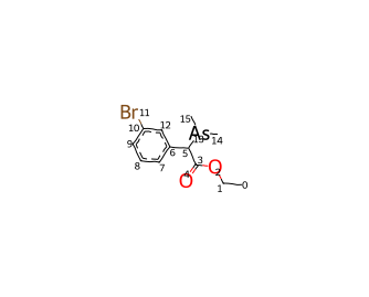 CCOC(=O)C(c1cccc(Br)c1)[As](C)C